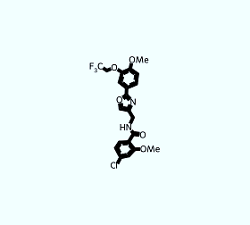 COc1ccc(-c2nc(CNC(=O)c3ccc(Cl)cc3OC)co2)cc1OCC(F)(F)F